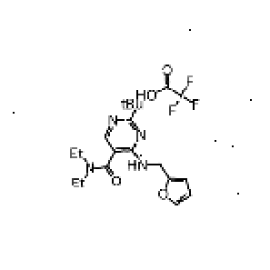 CCN(CC)C(=O)c1cnc(C(C)(C)C)nc1NCc1ccco1.O=C(O)C(F)(F)F